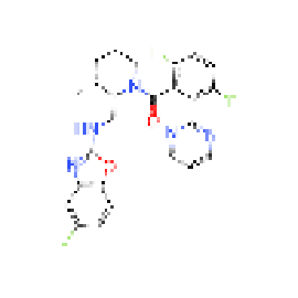 C[C@@H]1CCCN(C(=O)c2c(F)ccc(F)c2-c2ncccn2)[C@@H]1CNc1nc2cc(F)ccc2o1